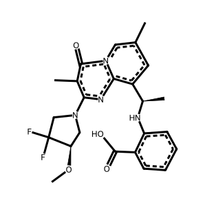 CO[C@@H]1CN(c2nc3c([C@@H](C)Nc4ccccc4C(=O)O)cc(C)cn3c(=O)c2C)CC1(F)F